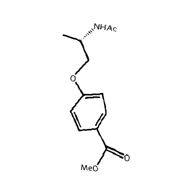 COC(=O)c1ccc(OC[C@H](C)NC(C)=O)cc1